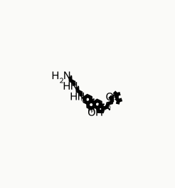 CC(C)N(C(=O)CC[C@@H](C)C1CCC2C3C(CC[C@@]21C)[C@@]1(C)CC[C@H](NCCCNCCCN)CC1C[C@H]3O)C(C)C